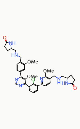 COc1cc(-c2ncnc(-c3cccc(-c4ccc(CNCC5CCC(=O)N5)c(OC)n4)c3Cl)c2OC)ccc1CNCC1CCC(=O)N1